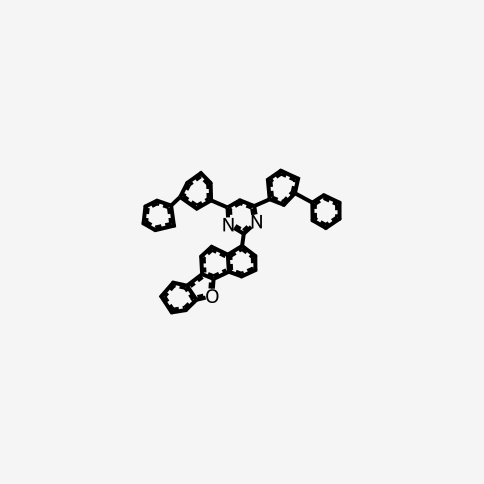 c1ccc(-c2cccc(-c3cc(-c4cccc(-c5ccccc5)c4)nc(-c4cccc5c4ccc4c6ccccc6oc54)n3)c2)cc1